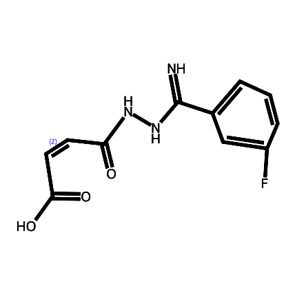 N=C(NNC(=O)/C=C\C(=O)O)c1cccc(F)c1